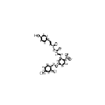 O=C(/C=C/c1ccc(O)cc1)CC(=O)/C=C/c1cc(OCc2ccc(Cl)cc2Cl)ccc1[N+](=O)[O-]